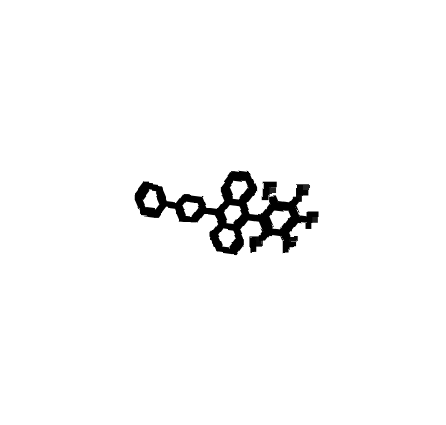 Fc1c(F)c(F)c(-c2c3ccccc3c(-c3ccc(-c4ccccc4)cc3)c3ccccc23)c(F)c1F